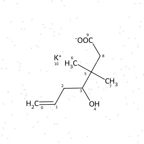 C=CCC(O)C(C)(C)CC(=O)[O-].[K+]